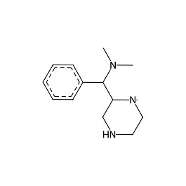 CN(C)C(c1ccccc1)C1CNCC[N]1